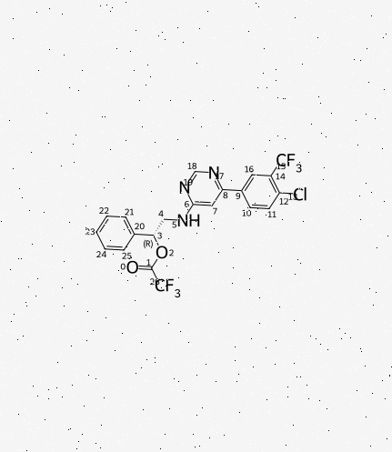 O=C(O[C@@H](CNc1cc(-c2ccc(Cl)c(C(F)(F)F)c2)ncn1)c1ccccc1)C(F)(F)F